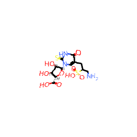 NCC(Cc1cn([C@@H]2O[C@H](C(=O)O)[C@@H](O)[C@H]2O)c(=S)[nH]c1=O)S(=O)(=O)O